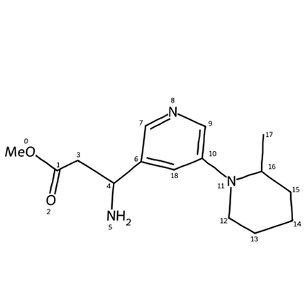 COC(=O)CC(N)c1cncc(N2CCCCC2C)c1